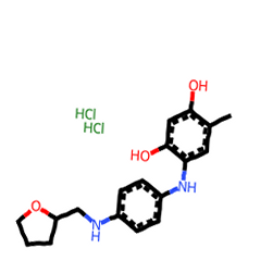 Cc1cc(Nc2ccc(NCC3CCCO3)cc2)c(O)cc1O.Cl.Cl